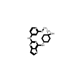 COc1cc(Nc2nc(N[C@H]3CC[C@](C)(O)CC3)c3sccc3n2)ccn1